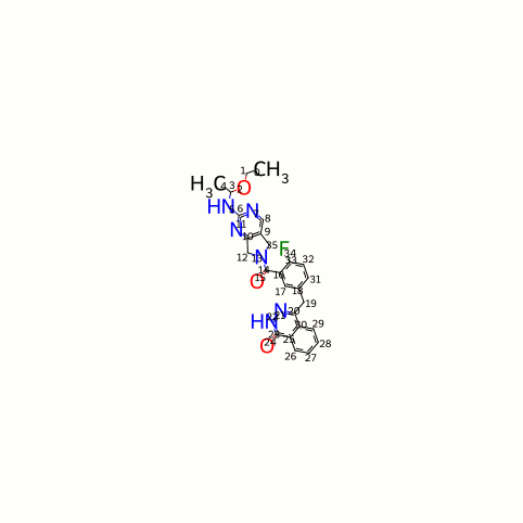 CCOC(C)Nc1ncc2c(n1)CN(C(=O)c1cc(Cc3n[nH]c(=O)c4ccccc34)ccc1F)C2